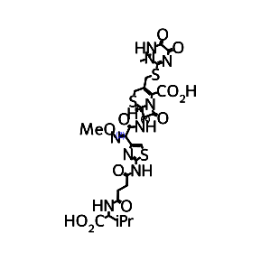 CO/N=C(\C(=O)N[C@@H]1C(=O)N2C(C(=O)O)=C(CSc3nc(=O)c(=O)[nH]n3C)CS[C@H]12)c1csc(NC(=O)CCC(=O)NC(C(=O)O)C(C)C)n1